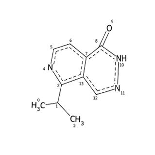 CC(C)c1nccc2c(=O)[nH]ncc12